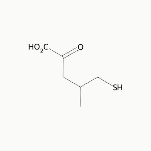 CC(CS)CC(=O)C(=O)O